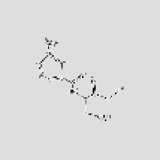 O=C(O)CC(NC(=O)c1cccc(C(=O)O)c1)C(=O)CF